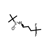 CC(F)(F)CC/C=N/[S@@+]([O-])C(C)(C)C